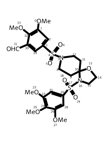 COc1cc(S(=O)(=O)N2CCC3(CC2)OCCN3S(=O)(=O)c2cc(OC)c(OC)c(OC)c2)cc(C=O)c1OC